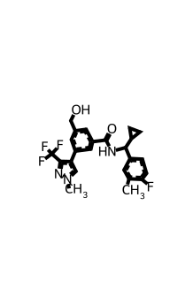 Cc1cc(C(NC(=O)c2cc(CO)cc(-c3cn(C)nc3C(F)(F)F)c2)C2CC2)ccc1F